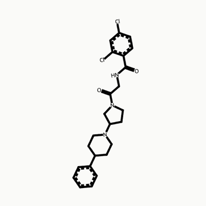 O=C(NCC(=O)N1CCC(N2CCC(c3ccccc3)CC2)C1)c1ccc(Cl)cc1Cl